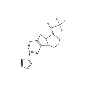 O=C(N1CCCC2c3cc(C4=C=CC=C4)ccc3CC21)C(F)(F)F